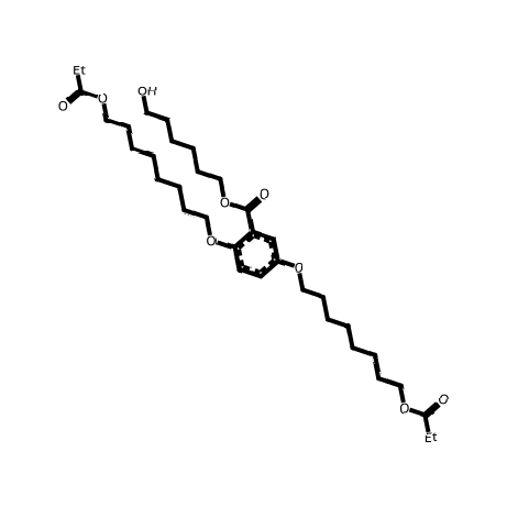 CCC(=O)OCCCCCCCCOc1ccc(OCCCCCCCCOC(=O)CC)c(C(=O)OCCCCCCO)c1